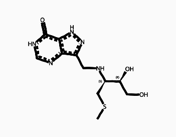 CSC[C@@H](NCc1n[nH]c2c(=O)[nH]cnc12)[C@@H](O)CO